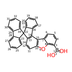 OB(O)c1cccc2c1oc1ccc3c(c12)-c1ccccc1C31c2ccccc2-c2ccccc21